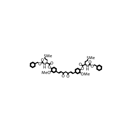 COc1cc(/C=C/C(=O)CC(=O)/C=C/c2ccc(OC(=O)[C@H](CCSC)NC(=O)OCc3ccccc3)c(OC)c2)ccc1OC(=O)C(CCSC)NC(=O)OCc1ccccc1